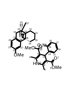 COC(=O)C1=C(C)NC(C)=C(C(=O)OC)C1c1ccccc1[N+](=O)[O-].COc1ccc2c(c1)[C@]13CCCC[C@@H]1[C@H](C2)N(C)CC3